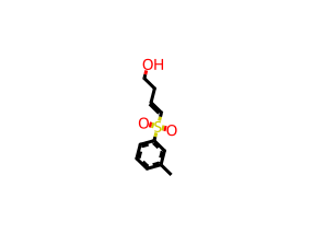 Cc1cccc(S(=O)(=O)C=CCCO)c1